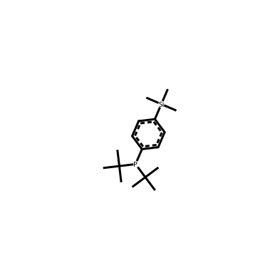 CC(C)(C)P(c1ccc([Si](C)(C)C)cc1)C(C)(C)C